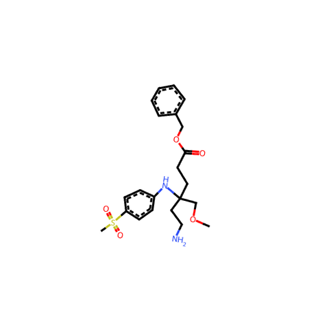 COCC(CCN)(CCC(=O)OCc1ccccc1)Nc1ccc(S(C)(=O)=O)cc1